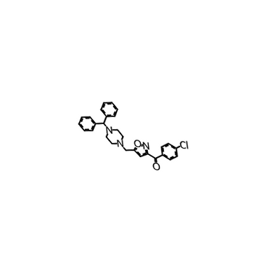 O=C(c1ccc(Cl)cc1)c1cc(CN2CCN(C(c3ccccc3)c3ccccc3)CC2)on1